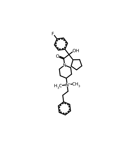 C[N+](C)(CCc1ccccc1)C1CCN(C(=O)C(O)(c2ccc(F)cc2)C2CCCC2)CC1